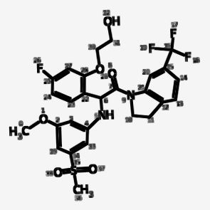 COc1cc(NC(C(=O)N2CCc3ccc(C(F)(F)F)cc32)c2ccc(F)cc2OCCO)cc(S(C)(=O)=O)c1